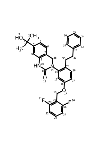 CC(C)(O)c1ccc2c(c1)NC(=O)N(c1cc(OCc3c(F)cccc3F)ccc1CCc1ccccc1)C2